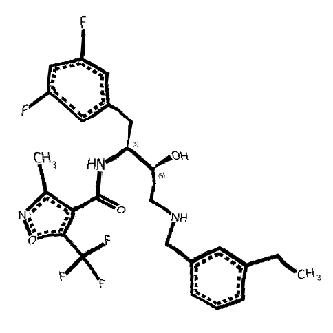 CCc1cccc(CNC[C@H](O)[C@H](Cc2cc(F)cc(F)c2)NC(=O)c2c(C)noc2C(F)(F)F)c1